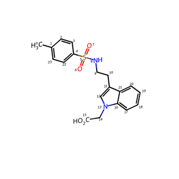 Cc1ccc(S(=O)(=O)NCCc2cn(CC(=O)O)c3ccccc23)cc1